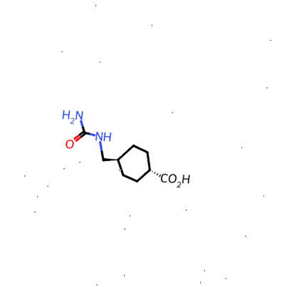 NC(=O)NC[C@H]1CC[C@H](C(=O)O)CC1